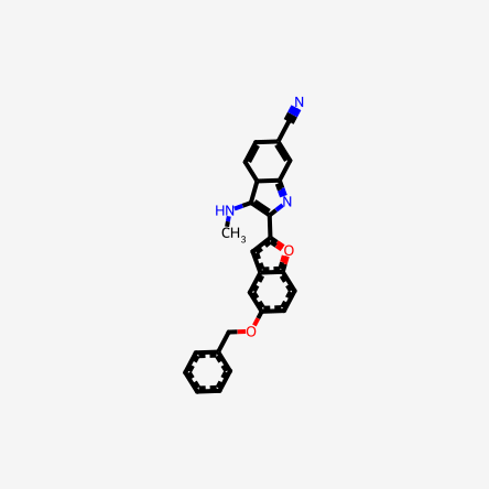 CNC1=C(c2cc3cc(OCc4ccccc4)ccc3o2)N=C2C=C(C#N)C=CC21